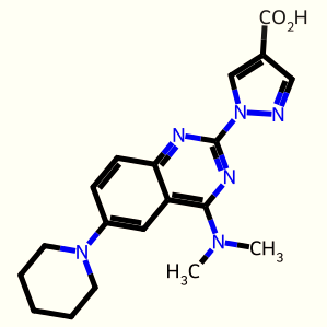 CN(C)c1nc(-n2cc(C(=O)O)cn2)nc2ccc(N3CCCCC3)cc12